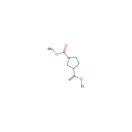 C=C(OCC)C1CCN(C(=O)OC(C)(C)C)C1